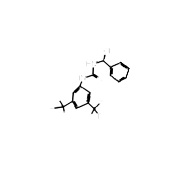 CC(NC(=S)Nc1cc(C(F)(F)F)cc(C(F)(F)F)c1)c1ccccc1